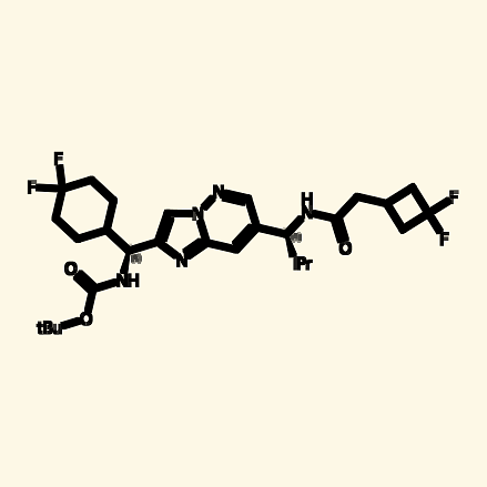 CC(C)[C@H](NC(=O)CC1CC(F)(F)C1)c1cnn2cc([C@@H](NC(=O)OC(C)(C)C)C3CCC(F)(F)CC3)nc2c1